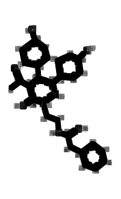 CC(=O)c1c(-c2ccc(Cl)cc2)c(-c2ccc(Cl)cc2)nn(CCOC(=O)Cc2ccccc2)c1=O